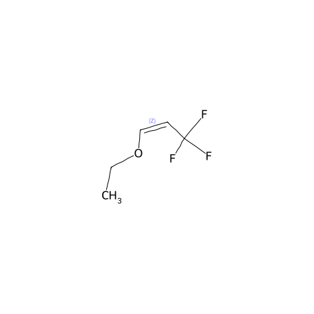 CCO/C=C\C(F)(F)F